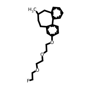 CC1CCc2cc(OCCOCCOCCF)ccc2-c2ccccc2C1